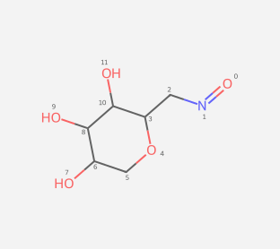 O=NCC1OCC(O)C(O)C1O